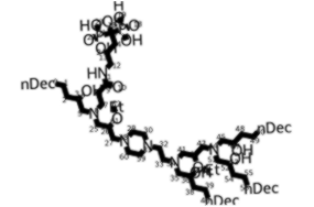 CCCCCCCCCCCCC(O)CN(CCC(=O)NCCCC(O)(P(=O)(O)O)P(=O)(O)O)CC(CN1CCN(CCN(CC(O)CCCCCCCCCCCC)CC(CN(CC(O)CCCCCCCCCCCC)CC(O)CCCCCCCCCCCC)OCC)CC1)OCC